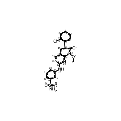 COn1c(=O)c(-c2ccccc2Cl)cc2cnc(Nc3cccc(S(N)(=O)=O)c3)nc21